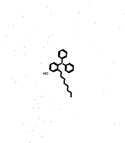 CCCCCCCCc1ccccc1P(c1ccccc1)c1ccccc1.Cl